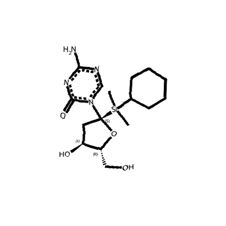 C[Si](C)(C1CCCCC1)[C@]1(n2cnc(N)nc2=O)C[C@H](O)[C@@H](CO)O1